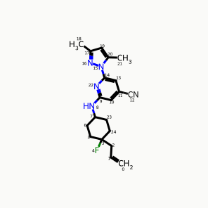 C=CCC1(F)CCC(Nc2cc(C#N)cc(-n3nc(C)cc3C)n2)CC1